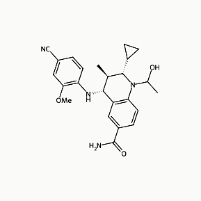 COc1cc(C#N)ccc1N[C@H]1c2cc(C(N)=O)ccc2N(C(C)O)[C@@H](C2CC2)[C@@H]1C